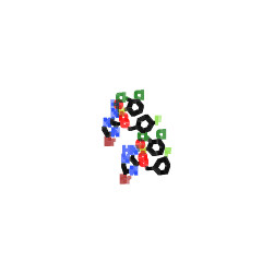 O=S(=O)(Nc1ncc(Br)nc1OCc1ccc(F)cc1)c1cccc(Cl)c1Cl.O=S(=O)(Nc1ncc(Br)nc1OCc1cccc(F)c1)c1cccc(Cl)c1Cl